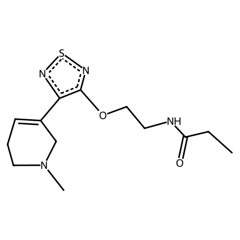 CCC(=O)NCCOc1nsnc1C1=CCCN(C)C1